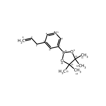 C=CCc1cncc(B2OC(C)(C)C(C)(C)O2)c1